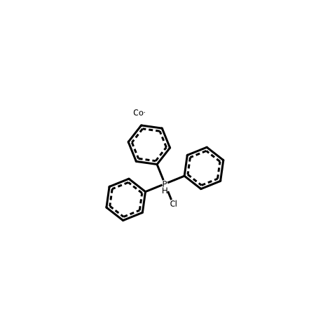 Cl[PH](c1ccccc1)(c1ccccc1)c1ccccc1.[Co]